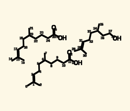 CC(C)=CCCC(C)CCCC(=O)O.CC(C)=CCCC(C)CCCC(=O)O.CC(C)=CCCC(C)CCO